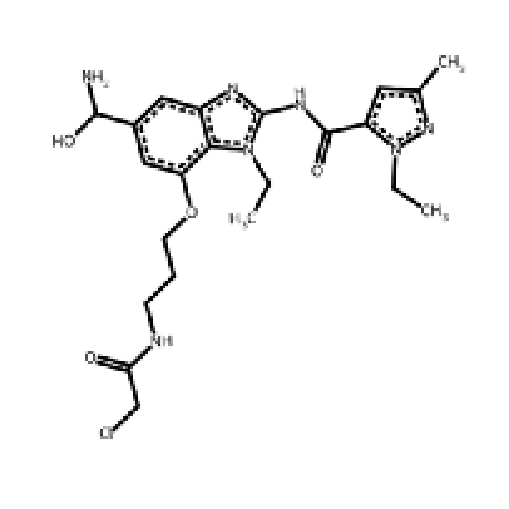 CCn1nc(C)cc1C(=O)Nc1nc2cc(C(N)O)cc(OCCCNC(=O)CCl)c2n1CC